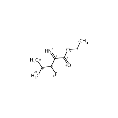 CCOC(=O)C(=N)C(F)C(C)C